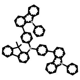 CC1(C)c2ccccc2-c2cccc(N(c3ccc(-c4cccc5c4c4ccccc4n5-c4ccccc4)cc3)c3ccc(-c4cccc5c6ccccc6n(-c6ccccc6)c45)cc3)c21